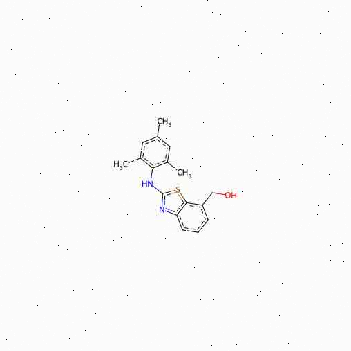 Cc1cc(C)c(Nc2nc3cccc(CO)c3s2)c(C)c1